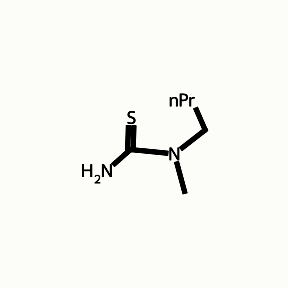 CCCCN(C)C(N)=S